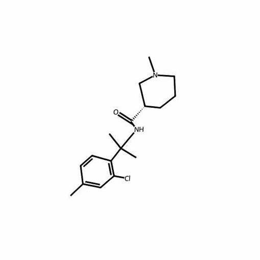 Cc1ccc(C(C)(C)NC(=O)[C@H]2CCCN(C)C2)c(Cl)c1